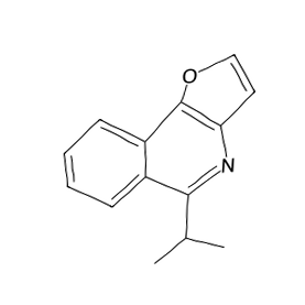 CC(C)c1nc2ccoc2c2ccccc12